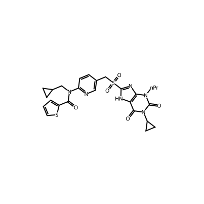 CCCn1c(=O)n(C2CC2)c(=O)c2[nH]c(S(=O)(=O)Cc3ccc(N(CC4CC4)C(=O)c4cccs4)nc3)nc21